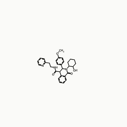 COc1ccc(C2C(C(=O)NCCc3ccccn3)c3ccccc3C(=O)N2C2CCCCC2O)cc1